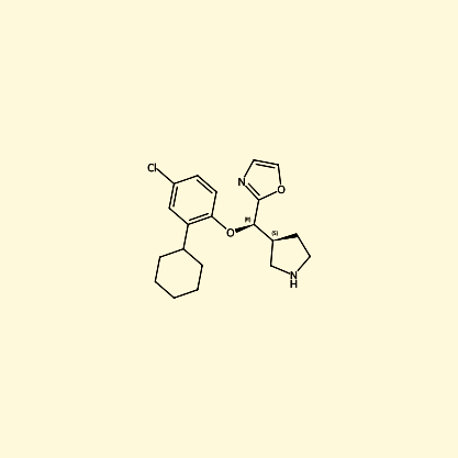 Clc1ccc(O[C@@H](c2ncco2)[C@H]2CCNC2)c(C2CCCCC2)c1